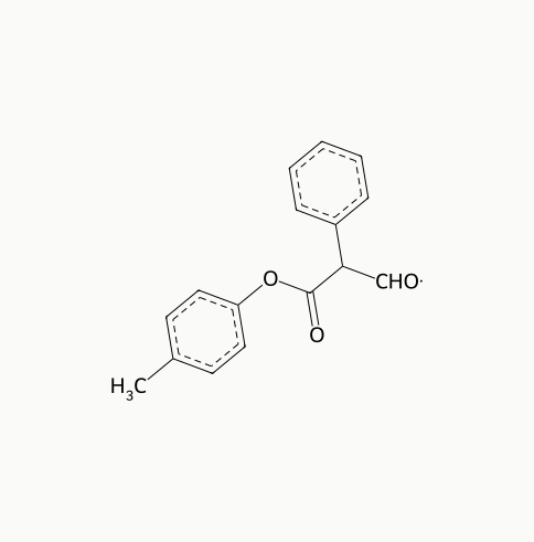 Cc1ccc(OC(=O)C([C]=O)c2ccccc2)cc1